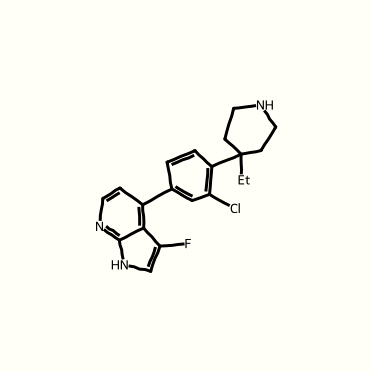 CCC1(c2ccc(-c3ccnc4[nH]cc(F)c34)cc2Cl)CCNCC1